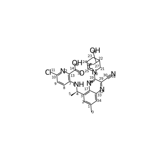 Cc1cc([C@@H](C)Nc2ccc(Cl)nc2C(=O)O)c2nc(N3CC4CCC3CC4O)c(C#N)nc2c1